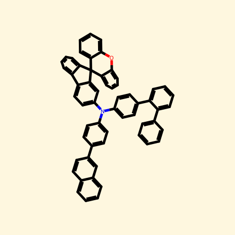 c1ccc(-c2ccccc2-c2ccc(N(c3ccc(-c4ccc5ccccc5c4)cc3)c3ccc4c(c3)C3(c5ccccc5Oc5ccccc53)c3ccccc3-4)cc2)cc1